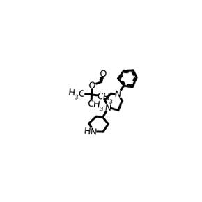 CC(C)(C)OC=O.c1ccc(N2CCN(C3CCNCC3)CC2)cc1